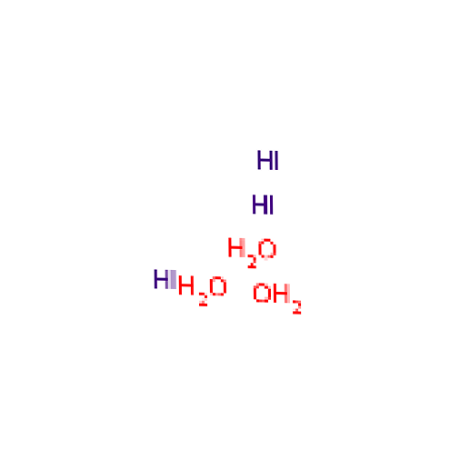 I.I.I.O.O.O